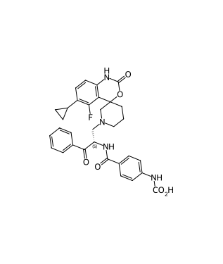 O=C(O)Nc1ccc(C(=O)N[C@@H](CN2CCCC3(C2)OC(=O)Nc2ccc(C4CC4)c(F)c23)C(=O)c2ccccc2)cc1